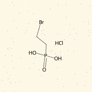 Cl.O=P(O)(O)CCBr